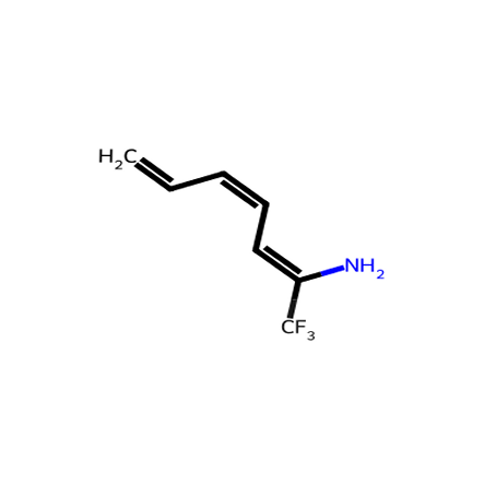 C=C/C=C\C=C(/N)C(F)(F)F